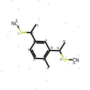 Cc1ccc(C(C)SC#N)cc1C(C)SC#N